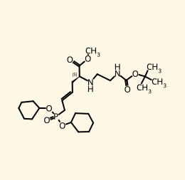 COC(=O)[C@H](CC=CCP(=O)(OC1CCCCC1)OC1CCCCC1)NCCNC(=O)OC(C)(C)C